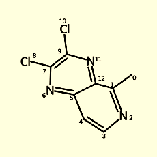 Cc1nccc2nc(Cl)c(Cl)nc12